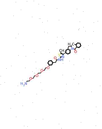 Cc1ccccc1C(=O)N1CCc2cc(-c3nc(NC(=O)Cc4cccc(OCCOCCOCCOCCN)c4)sc3C)ccc21